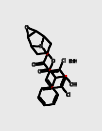 Br.O=C(CN1C2CC(OC(=O)C(CO)c3ccccc3)CC1C1OC12)c1ccc(Cl)cc1Cl